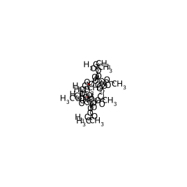 CCC(=O)OC1CC(P(=O)(OCOC(=O)C(C)(C)C)OCOC(=O)C(C)(C)C)C(=O)N1OC(=O)CCCC(C)(C)C(=O)OCOP(=O)(OCOC(=O)C(C)(C)C)C1CC(OC(=O)CC(C)C)N(OC(=O)CC(C)C)C1=O